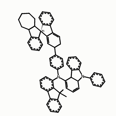 CC1(C)c2ccccc2-c2cccc(N(C3=CC=CC4C3c3ccccc3N4c3ccccc3)c3ccc(C4C=C5C(=CC4)c4ccccc4[C@@]54c5ccccc5C5CCCCCC54)cc3)c21